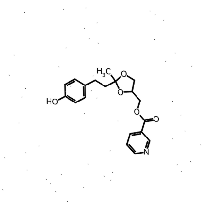 CC1(CCc2ccc(O)cc2)OCC(COC(=O)c2cccnc2)O1